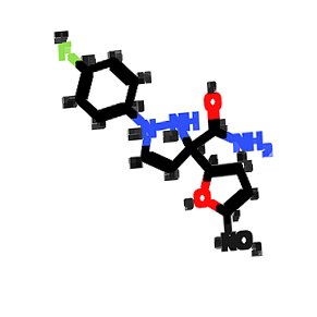 NC(=O)C1(c2ccc([N+](=O)[O-])o2)C=CN(c2ccc(F)cc2)N1